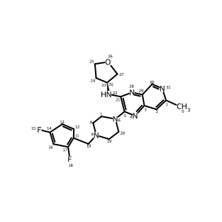 Cc1cc2nc(N3CCN(Cc4ccc(F)cc4F)CC3)c(N[C@H]3CCOC3)nc2cn1